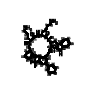 CN1C(=O)[C@H](CCCCN)NC(=O)[C@H](CCCN)NCc2ccccc2Sc2c(cc(-c3ccccc3)cc2C(F)(F)F)CNC(=O)[C@@H]1Cc1c[nH]c2ccccc12